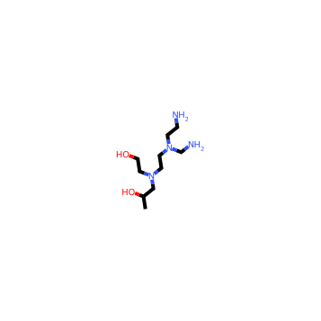 CC(O)CN(CCO)CCN(CN)CCN